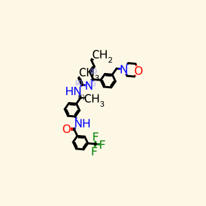 C=C/C=C/C(=N\C(=C/C)N[C@@H](C)c1cccc(NC(=O)c2cccc(C(F)(F)F)c2)c1)c1cccc(CN2CCOCC2)c1